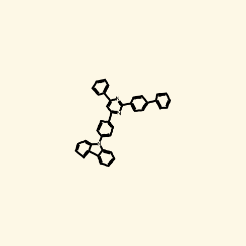 c1ccc(-c2ccc(-c3nc(-c4ccccc4)cc(-c4ccc(-n5c6ccccc6c6ccccc65)cc4)n3)cc2)cc1